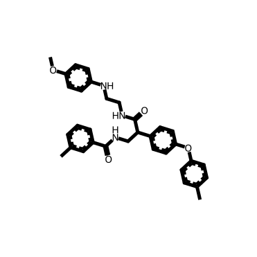 COc1ccc(NCCNC(=O)C(CNC(=O)c2cccc(C)c2)c2ccc(Oc3ccc(C)cc3)cc2)cc1